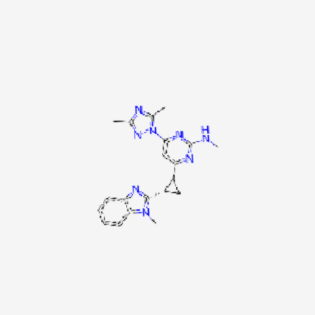 CNc1nc(C2C[C@@H]2c2nc3ccccc3n2C)cc(-n2nc(C)nc2C)n1